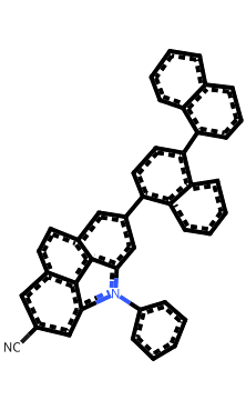 N#Cc1cc2ccc3cc(-c4ccc(-c5cccc6ccccc56)c5ccccc45)cc4c3c2c(c1)n4-c1ccccc1